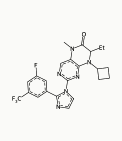 CCC1C(=O)N(C)c2cnc(-n3ccnc3-c3cc(F)cc(C(F)(F)F)c3)nc2N1C1CCC1